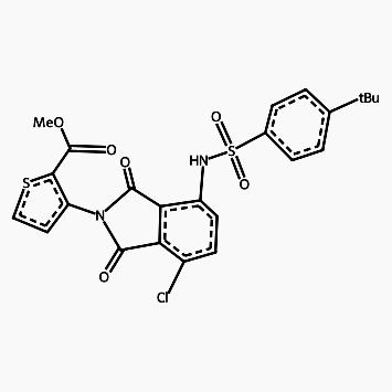 COC(=O)c1sccc1N1C(=O)c2c(Cl)ccc(NS(=O)(=O)c3ccc(C(C)(C)C)cc3)c2C1=O